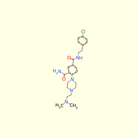 CN(C)CCN1CCN(c2ccc(C(=O)NCCc3ccc(Cl)cc3)cc2C(N)=O)CC1